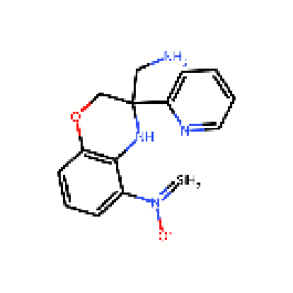 NCC1(c2ccccn2)COc2cccc([N+]([O-])=[SiH2])c2N1